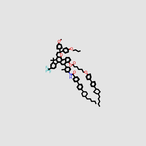 CCCCCC1CCC(c2ccc(-c3ccc(OCCCCCC(=O)Oc4cccc5c4c(-c4ccc(NC(=O)c6ccc(-c7ccc(C8CCC(CCCCC)CC8)cc7)cc6)cc4C)cc4c6c(c7c(c45)OC(c4ccc(OC)cc4)(c4ccc(OCCCC)cc4)C=C7)C(C)(C)c4cc(C(F)(F)F)ccc4-6)cc3)cc2)CC1